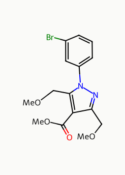 COCc1nn(-c2cccc(Br)c2)c(COC)c1C(=O)OC